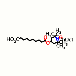 CCCCCCCCON1C(C)(C)CC(OC(=O)CCCCCCCCC(=O)O)CC1(C)C